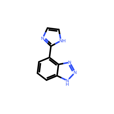 c1cc(-c2ncc[nH]2)c2nn[nH]c2c1